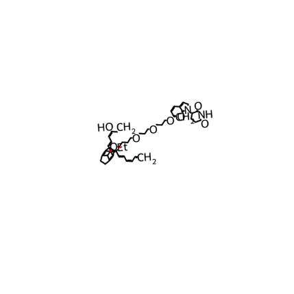 C=C\C=C/C=C/C(CC)=C(/C=C/C=C(/O)C=C)C1C2=C3CCC(=C1CC2)C3OCCCCOCCCOCCCOC(=C)/C=C\C1=CCN(C2CCC(=O)NC2=O)C1=O